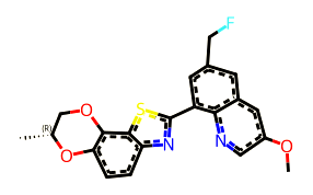 [CH2][C@@H]1COc2c(ccc3nc(-c4cc(CF)cc5cc(OC)cnc45)sc23)O1